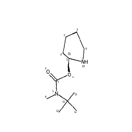 CN(C(=O)O[C@H]1CCCCN1)C(C)(C)C